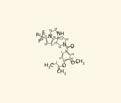 CC[C@H](C)Oc1ccc(C(=O)N2CCC3(CC2)NCCn2c(C(F)(F)F)ccc23)cc1OC